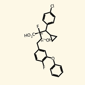 O=C(O)[C@@](F)(C(c1ccc(Cl)cc1)C1CC1)[C@H](O)Cc1ccc(F)c(Oc2ccccc2)c1